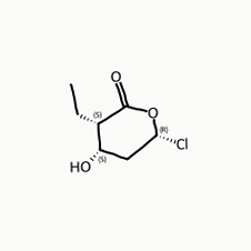 CC[C@@H]1C(=O)O[C@H](Cl)C[C@@H]1O